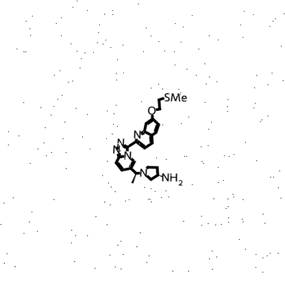 CSCCOc1ccc2ccc(-c3nnc4ccc([C@H](C)N5CC[C@H](N)C5)cn34)nc2c1